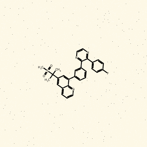 CC(C)(c1cc(-c2cccc(-c3nccnc3-c3ccc(F)cc3)c2)c2ncccc2c1)S(C)(=O)=O